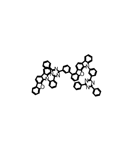 c1ccc(-c2nc(-c3ccccc3)nc(-c3cccc(-n4c5ccccc5c5ccc6c(oc7cccc(-c8cccc(-c9nc(-c%10ccccc%10)nc(-c%10ccccc%10-n%10c%11ccccc%11c%11ccc%12c%13ccccc%13oc%12c%11%10)n9)c8)c76)c54)c3)n2)cc1